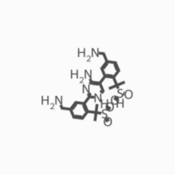 CC(C)(c1ccc(CN)cc1-c1ncc(-c2cc(CN)ccc2C(C)(C)[SH](=O)=O)c(N)n1)[SH](=O)=O